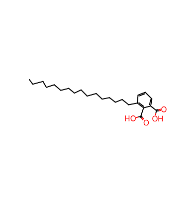 CCCCCCCCCCCCCCCCc1cccc(C(=O)O)c1C(=O)O